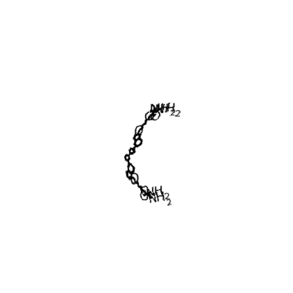 CC(N)(CN)C(=O)OCCCCCOc1ccc2c(c1)CCCC(c1ccc(-c3cccc(C4=Cc5cccc(OCCCCCOC(=O)C(N)CN)c5CCC4)c3)cc1)=C2